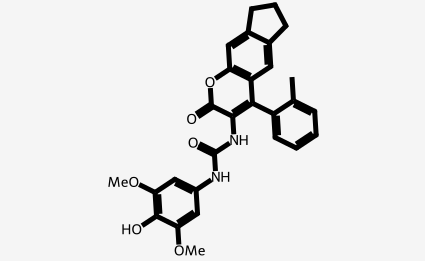 COc1cc(NC(=O)Nc2c(-c3ccccc3C)c3cc4c(cc3oc2=O)CCC4)cc(OC)c1O